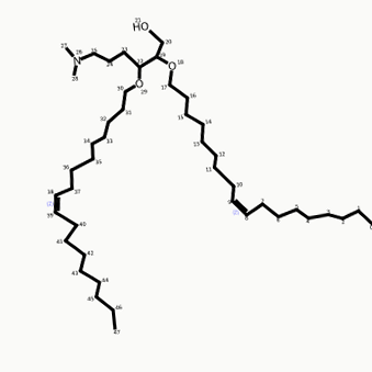 CCCCCCCC/C=C\CCCCCCCCOC(CO)C(CCCN(C)C)OCCCCCCCC/C=C\CCCCCCCC